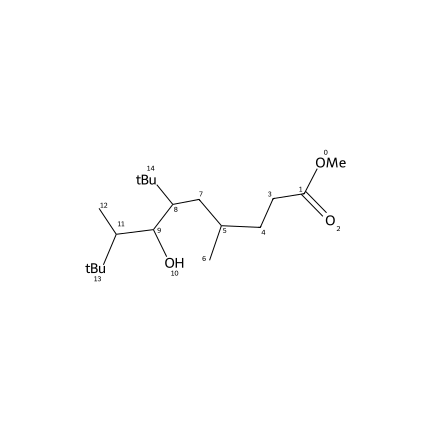 COC(=O)CCC(C)CC(C(O)C(C)C(C)(C)C)C(C)(C)C